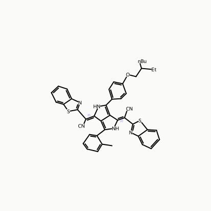 [C-]#[N+]/C(c1nc2ccccc2s1)=c1/[nH]c(-c2ccc(OCC(CC)CCCC)cc2)c2/c(=C(\C#N)c3nc4ccccc4s3)[nH]c(-c3ccccc3C)c12